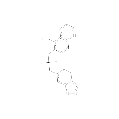 CC(C)c1c(CC(C)(C)Cc2ccn3cnnc3c2)ccc2ncccc12